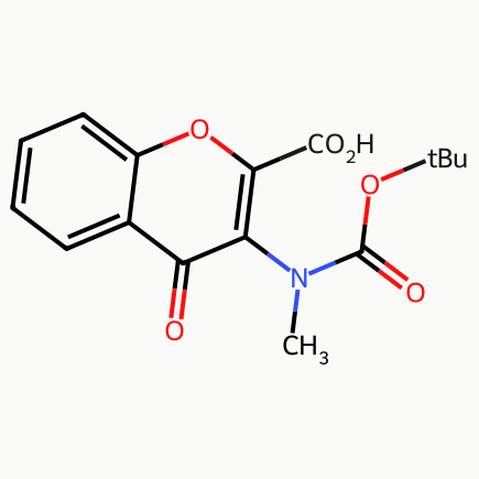 CN(C(=O)OC(C)(C)C)c1c(C(=O)O)oc2ccccc2c1=O